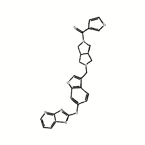 O=C(c1ccoc1)N1CC2CN(Cc3coc4cc(Oc5nc6ncccc6s5)ccc34)CC2C1